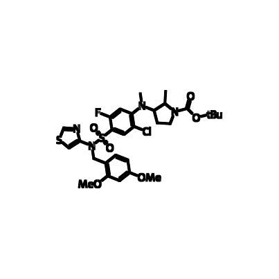 COc1ccc(CN(c2cscn2)S(=O)(=O)c2cc(Cl)c(N(C)C3CCN(C(=O)OC(C)(C)C)C3C)cc2F)c(OC)c1